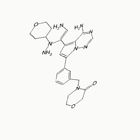 N/C=C(/c1cc(-c2cccc(CN3CCOCC3=O)c2)n2ncnc(N)c12)N(N)C1CCOCC1